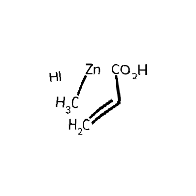 C=CC(=O)O.I.[CH3][Zn]